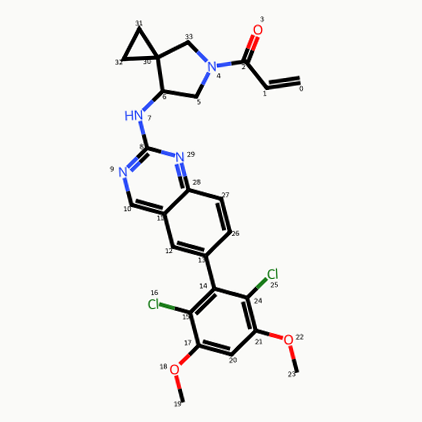 C=CC(=O)N1CC(Nc2ncc3cc(-c4c(Cl)c(OC)cc(OC)c4Cl)ccc3n2)C2(CC2)C1